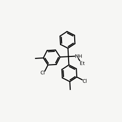 [CH2]CNC(c1ccccc1)(c1ccc(C)c(Cl)c1)c1ccc(C)c(Cl)c1